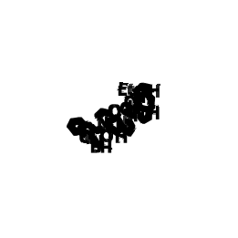 B=N/N=C(/Cc1ccccc1Cl)C(=O)N1CCC[C@]12C=C[C@@H]1CC[C@@H](C(=O)N3CC[C@@H]4C=C[C@H]5CC[C@@H](CC)N5C(=O)[C@H]43)N1C2=O